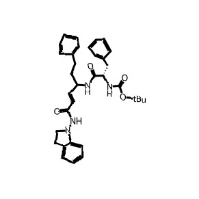 CC(C)(C)OC(=O)N[C@@H](Cc1ccccc1)C(=O)NC(/C=C/C(=O)NN1CCc2ccccc21)CCc1ccccc1